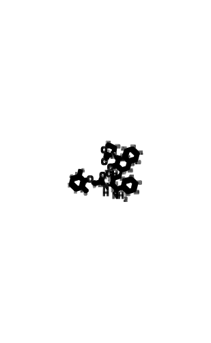 Cc1cccc(C)c1OCC(=O)N[C@H](C(O)C[C@H](Cc1ccccc1)C(=O)C(C(C)C)N1CCOC1=O)C(N)c1ccccc1